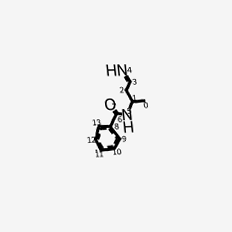 CC(CC=N)NC(=O)c1cc[c]cc1